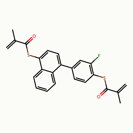 C=C(C)C(=O)Sc1ccc(-c2ccc(SC(=O)C(=C)C)c3ccccc23)cc1F